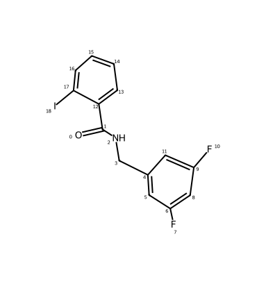 O=C(NCc1cc(F)cc(F)c1)c1ccccc1I